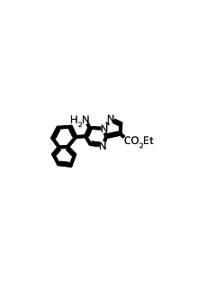 CCOC(=O)c1cnn2c(N)c(-c3cccc4ccccc34)cnc12